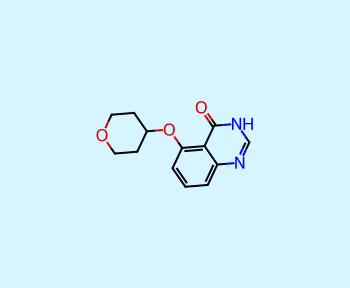 O=c1[nH]cnc2cccc(OC3CCOCC3)c12